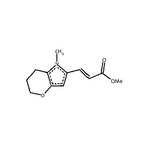 COC(=O)C=Cc1cc2c(n1C)CCCO2